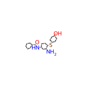 Nc1cc(NC(=O)c2ccccc2)ccc1Sc1ccc(O)cc1